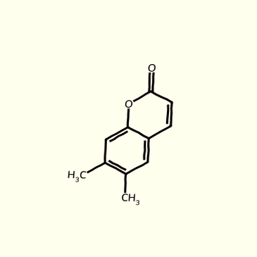 Cc1cc2ccc(=O)oc2cc1C